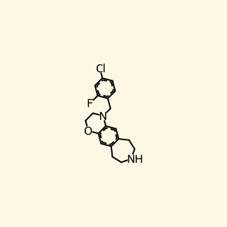 Fc1cc(Cl)ccc1CN1CCOc2cc3c(cc21)CCNCC3